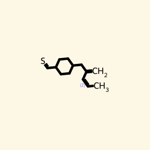 C=C(/C=C\C)CC1CCC(C=S)CC1